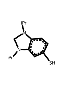 CC(C)N1CN(C(C)C)c2cc(S)ccc21